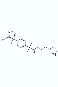 CCCN(CCC)S(=O)(=O)c1ccc(C(C)(C)NCCCn2ccnc2)cc1